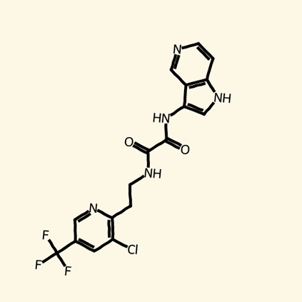 O=C(NCCc1ncc(C(F)(F)F)cc1Cl)C(=O)Nc1c[nH]c2ccncc12